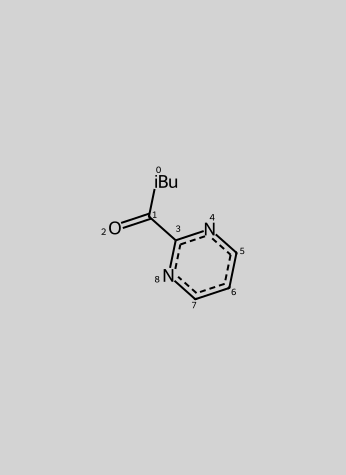 CCC(C)C(=O)c1ncccn1